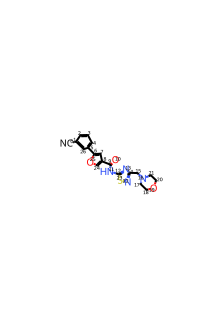 N#Cc1cccc(-c2cc(C(=O)Nc3nc(CN4CCOCC4)ns3)co2)c1